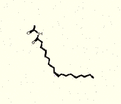 CCCCCCCC/C=C\CCCCCCCC(=O)NC(C)=O